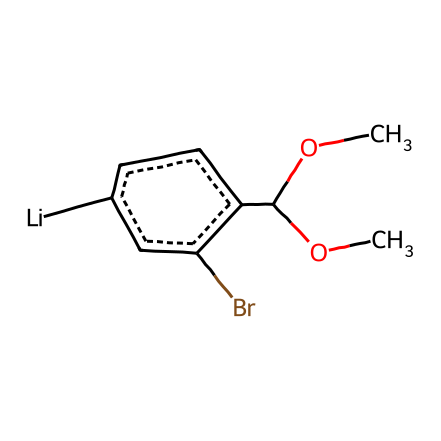 [Li][c]1ccc(C(OC)OC)c(Br)c1